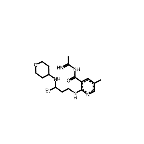 CCC(CCNc1ncc(C)cc1C(=O)NC(C)=N)NC1CCOCC1